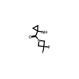 [NH]C1(C(=O)N2CC(F)(F)C2)CC1